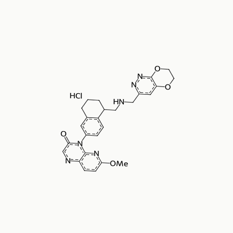 COc1ccc2ncc(=O)n(-c3ccc4c(c3)CCCC4CNCc3cc4c(nn3)OCCO4)c2n1.Cl